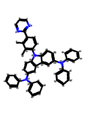 Cc1c(-c2ncccn2)ccc(-n2c3ccc(N(c4ccccc4)c4ccccc4)cc3c3cc(N(c4ccccc4)c4ccccc4)ccc32)c1C